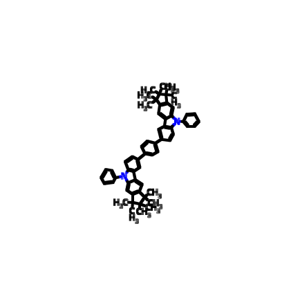 CC1(C)c2cc3c4cc(-c5ccc(-c6ccc7c(c6)c6cc8c(cc6n7-c6ccccc6)C(C)(C)C(C)(C)C8(C)C)cc5)ccc4n(-c4ccccc4)c3cc2C(C)(C)C1(C)C